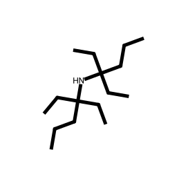 CCCC(CC)(CC)NC(CC)(CC)CCC